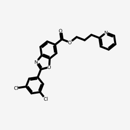 O=C(OCCCc1ccccn1)c1ccc2nc(-c3cc(Cl)cc(Cl)c3)oc2c1